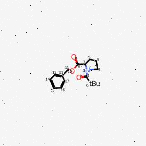 CC(C)(C)C(=O)N1CCCC1C(=O)OCc1ccccc1